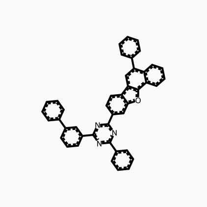 c1ccc(-c2cccc(-c3nc(-c4ccccc4)nc(-c4ccc5c(c4)oc4c6ccccc6c(-c6ccccc6)cc54)n3)c2)cc1